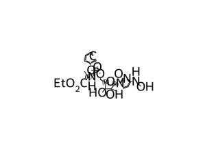 CCOC(=O)[C@@H](C)NP(=O)(OC[C@H]1O[C@@H](n2ccc(NO)nc2=O)C(C)(O)C1O)Oc1ccccc1